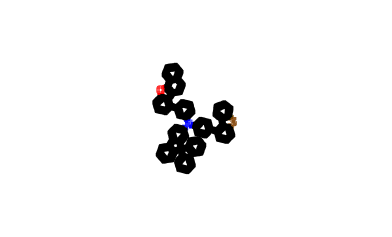 c1ccc(C2(c3ccccc3)c3ccccc3-c3ccc(N(c4ccc(-c5cccc6sc7ccccc7c56)cc4)c4cccc(-c5cccc6oc7c8ccccc8ccc7c56)c4)cc32)cc1